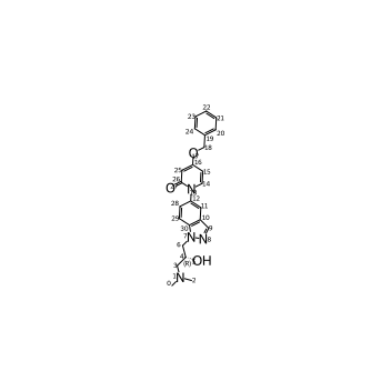 CN(C)C[C@@H](O)Cn1ncc2cc(-n3ccc(OCc4ccccc4)cc3=O)ccc21